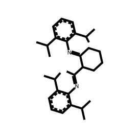 CC(=Nc1c(C(C)C)cccc1C(C)C)C1CCCCC1=Nc1c(C(C)C)cccc1C(C)C